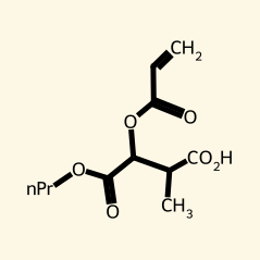 C=CC(=O)OC(C(=O)OCCC)C(C)C(=O)O